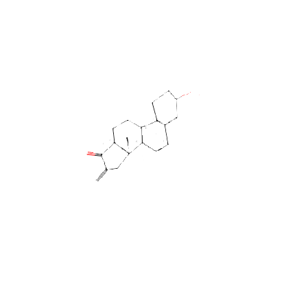 C=C1C[C@H]2[C@@H]3CCC4CC(O)CC[C@]4(C)[C@@H]3CC[C@]2(C)C1=O